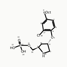 CCCCCCCCc1ccc(O[C@@H]2CN[C@@H](COP(=O)(O)O)C2)c(Cl)c1